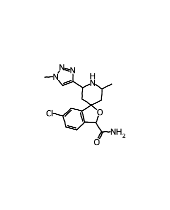 CC1CC2(CC(c3cn(C)nn3)N1)OC(C(N)=O)c1ccc(Cl)cc12